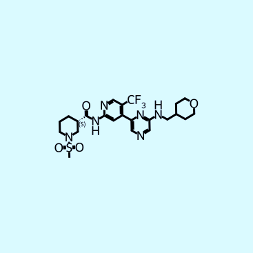 CS(=O)(=O)N1CCC[C@H](C(=O)Nc2cc(-c3cncc(NCC4CCOCC4)n3)c(C(F)(F)F)cn2)C1